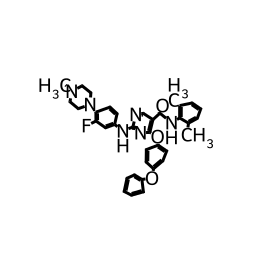 Cc1cccc(C)c1NC(=O)c1cnc(Nc2ccc(N3CCN(C)CC3)c(F)c2)nc1Oc1ccc(Oc2ccccc2)cc1